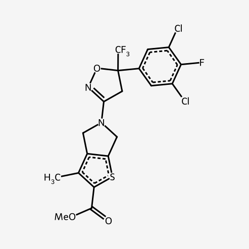 COC(=O)c1sc2c(c1C)CN(C1=NOC(c3cc(Cl)c(F)c(Cl)c3)(C(F)(F)F)C1)C2